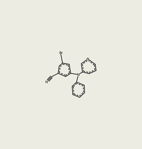 N#Cc1cc(Br)cc(N(c2ccccc2)c2cccnc2)c1